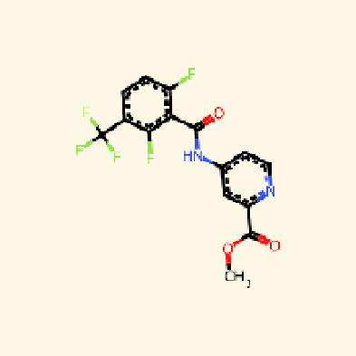 COC(=O)c1cc(NC(=O)c2c(F)ccc(C(F)(F)F)c2F)ccn1